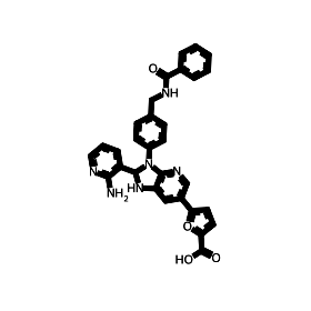 Nc1ncccc1C1Nc2cc(-c3ccc(C(=O)O)o3)cnc2N1c1ccc(CNC(=O)c2ccccc2)cc1